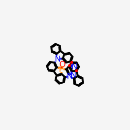 O=P1(c2cncnc2)c2c(cccc2-n2c3ccccc3c3ccccc32)-c2cccc(-n3c4ccccc4c4ccccc43)c21